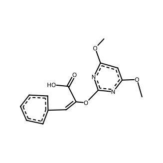 COc1cc(OC)nc(OC(=Cc2ccccc2)C(=O)O)n1